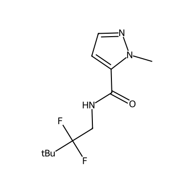 Cn1nccc1C(=O)NCC(F)(F)C(C)(C)C